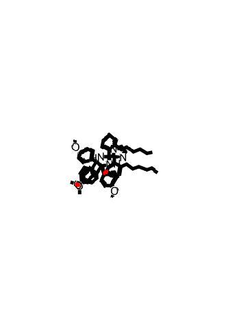 CCCCCCc1ccccc1C1(C2(c3ccccc3CCCCCC)NC(c3ccc(OC)cc3)(c3ccc(OC)cc3)C(c3ccc(OC)cc3)(c3ccc(OC)cc3)N2)N=CC=N1